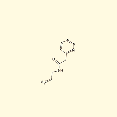 C=CCNC(=O)Cc1ccnnn1